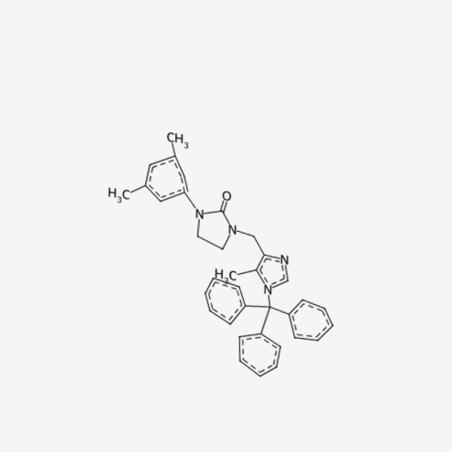 Cc1cc(C)cc(N2CCN(Cc3ncn(C(c4ccccc4)(c4ccccc4)c4ccccc4)c3C)C2=O)c1